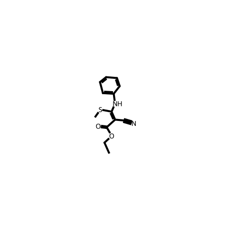 CCOC(=O)/C(C#N)=C(/Nc1ccccc1)SC